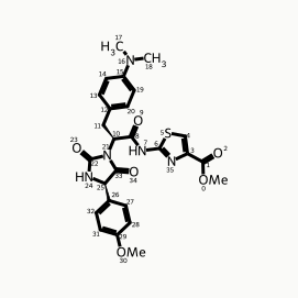 COC(=O)c1csc(NC(=O)[C@H](Cc2ccc(N(C)C)cc2)N2C(=O)N[C@H](c3ccc(OC)cc3)C2=O)n1